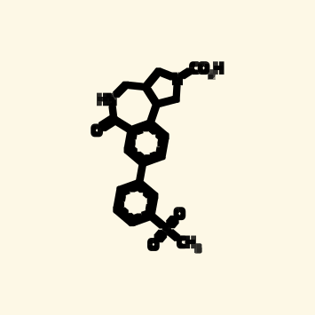 CS(=O)(=O)c1cccc(-c2ccc3c(c2)C(=O)NCC2CN(C(=O)O)CC32)c1